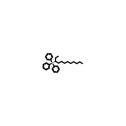 CCCCCCCCCC(CC)[N+](c1ccccc1)(c1ccccc1)c1ccccc1